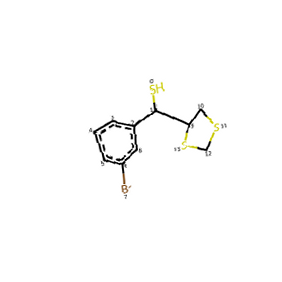 SC(c1cccc(Br)c1)C1CSCS1